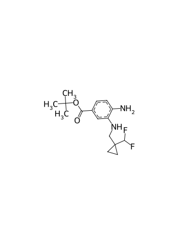 CC(C)(C)OC(=O)c1ccc(N)c(NCC2(C(F)F)CC2)c1